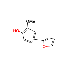 COc1[c]c(-c2ccco2)ccc1O